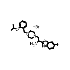 Br.CC(C)Oc1ccccc1CN1CCN(CC(N)c2nc3ccc(F)cc3s2)CC1